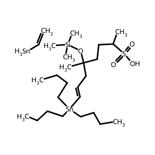 C=[CH][SnH3].CCC[CH2][Sn]([CH]=CCC(C)(CCC(C)S(=O)(=O)O)O[Si](C)(C)C)([CH2]CCC)[CH2]CCC